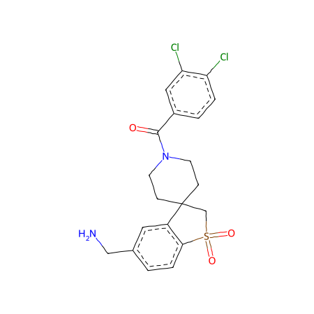 NCc1ccc2c(c1)C1(CCN(C(=O)c3ccc(Cl)c(Cl)c3)CC1)CS2(=O)=O